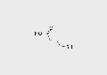 O=C(O)CCCS